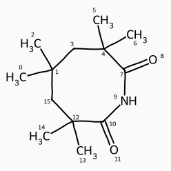 CC1(C)CC(C)(C)C(=O)NC(=O)C(C)(C)C1